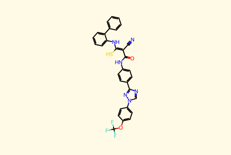 N#CC(C(=O)Nc1ccc(-c2ncn(-c3ccc(OC(F)(F)F)cc3)n2)cc1)=C(S)Nc1ccccc1-c1ccccc1